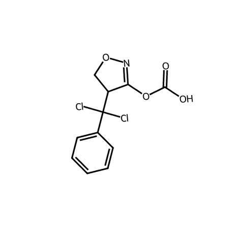 O=C(O)OC1=NOCC1C(Cl)(Cl)c1ccccc1